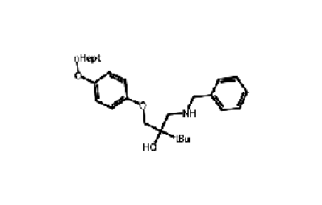 CCCCCCCOc1ccc(OCC(O)(CNCc2ccccc2)C(C)(C)C)cc1